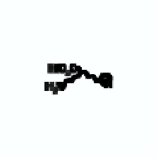 CCOC(=O)CC(CCCCCN)CCCCc1cccnc1